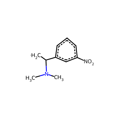 [CH2]C(c1cccc([N+](=O)[O-])c1)N(C)C